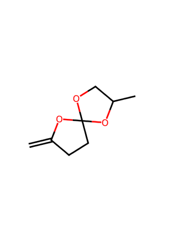 C=C1CCC2(OCC(C)O2)O1